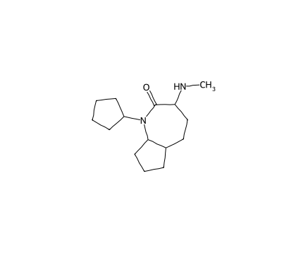 CNC1CCC2CCCC2N(C2CCCC2)C1=O